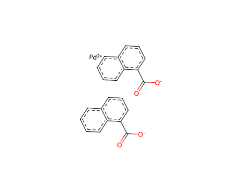 O=C([O-])c1cccc2ccccc12.O=C([O-])c1cccc2ccccc12.[Pd+2]